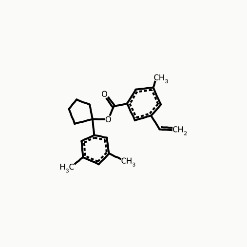 C=Cc1cc(C)cc(C(=O)OC2(c3cc(C)cc(C)c3)CCCC2)c1